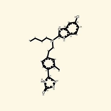 CCCCN(CCc1ccc(-c2noc(=O)[nH]2)c(C)c1)c1nc2ccc(Cl)cc2o1